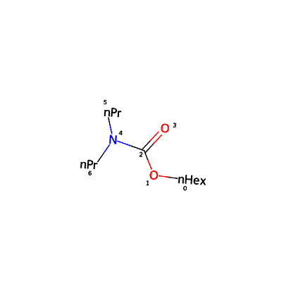 CCCCCCOC(=O)N(CCC)CCC